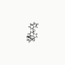 O=C1CCc2c(Oc3cccc4sccc34)ccc(S(=O)(=O)CF)c21